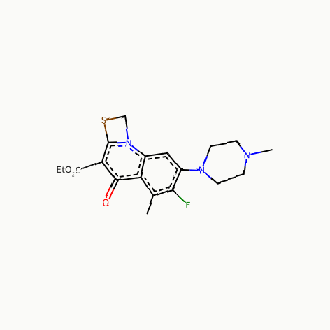 CCOC(=O)c1c2n(c3cc(N4CCN(C)CC4)c(F)c(C)c3c1=O)CS2